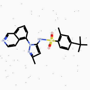 Cc1cc(NS(=O)(=O)c2ccc(C(C)(C)C)cc2C)n(-c2cccc3cnccc23)n1